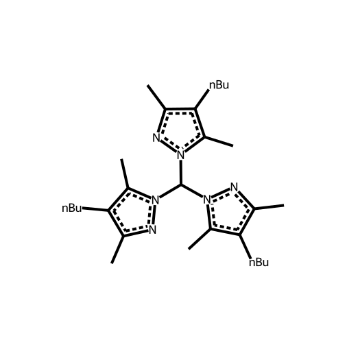 CCCCc1c(C)nn(C(n2nc(C)c(CCCC)c2C)n2nc(C)c(CCCC)c2C)c1C